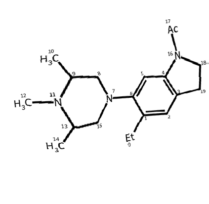 CCc1cc2c(cc1N1CC(C)N(C)C(C)C1)N(C(C)=O)CC2